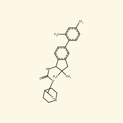 CC1(C)Cc2cc(-c3ccc(C(F)(F)F)cc3C(F)(F)F)ccc2C1NC(=O)OC1CN2CCC1CC2